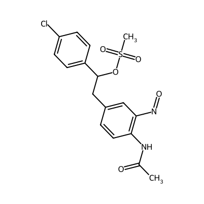 CC(=O)Nc1ccc(CC(OS(C)(=O)=O)c2ccc(Cl)cc2)cc1N=O